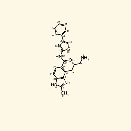 Cc1nc2c(CCCN)c(C(=O)Nc3nc(-c4ccccn4)cs3)ccc2[nH]1